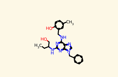 CCC(CO)Nc1nc(NCc2cc(C)ccc2O)c2ncn(Cc3ccccc3)c2n1